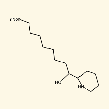 CCCCCCCCCCCCCCCCC(O)C1CCCCN1